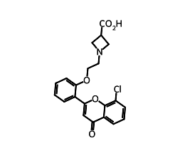 O=C(O)C1CN(CCOc2ccccc2-c2cc(=O)c3cccc(Cl)c3o2)C1